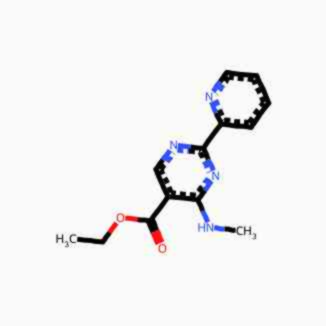 CCOC(=O)c1cnc(-c2ccccn2)nc1NC